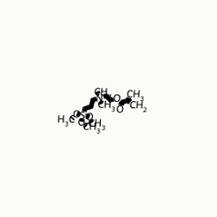 C=C(C)C(=O)OCC[N+](C)(C)CCC[Si](OC)(OC)OC